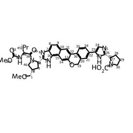 COC[C@H]1C[C@@H](c2nc3ccc4cc5c(cc4c3[nH]2)OCc2cc(-c3cnc([C@@H]4CCCN4C(=O)O)[nH]3)ccc2-5)N(C(=O)[C@@H](NC(=O)OC)C(C)C)C1